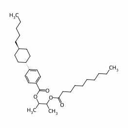 CCCCCCCCCC(=O)OC(C)C(C)OC(=O)c1ccc([C@H]2CC[C@H](CCCCC)CC2)cc1